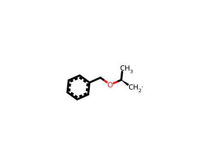 [CH2][C@H](C)OCc1ccccc1